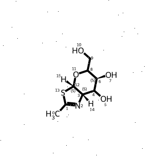 CC1=N[C@H]2C(O)[C@H](O)C(CO)O[C@H]2S1